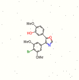 COc1ccc(-c2ocnc2-c2cc(OC)c(Br)c(OC)c2)cc1O